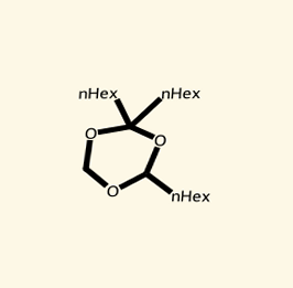 CCCCCCC1OCOC(CCCCCC)(CCCCCC)O1